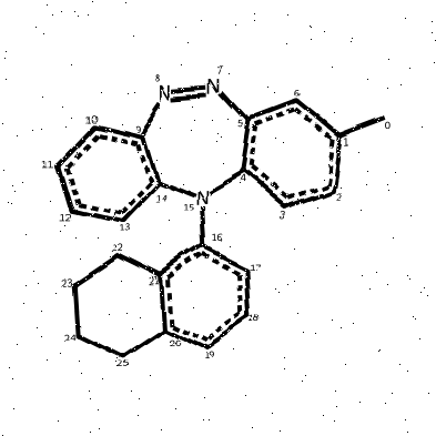 Cc1ccc2c(c1)N=Nc1ccccc1N2c1cccc2c1CCCC2